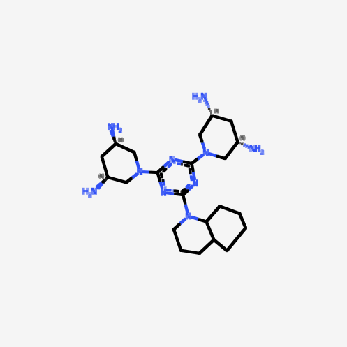 N[C@@H]1C[C@H](N)CN(c2nc(N3C[C@H](N)C[C@H](N)C3)nc(N3CCCC4CCCCC43)n2)C1